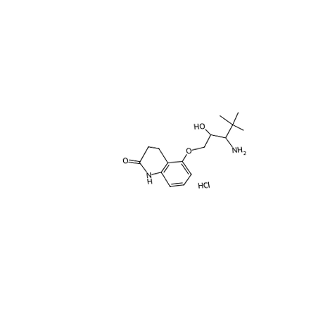 CC(C)(C)C(N)C(O)COc1cccc2c1CCC(=O)N2.Cl